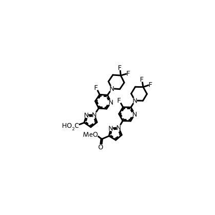 COC(=O)c1ccn(-c2cnc(N3CCC(F)(F)CC3)c(F)c2)n1.O=C(O)c1ccn(-c2cnc(N3CCC(F)(F)CC3)c(F)c2)n1